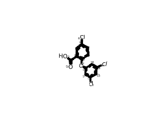 O=C(O)c1cc(Cl)ccc1Oc1cc(Cl)cc(Cl)c1